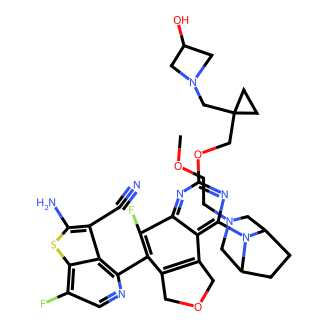 COCCN1CC2CCC(C1)N2c1nc(OCC2(CN3CC(O)C3)CC2)nc2c(F)c(-c3ncc(F)c4sc(N)c(C#N)c34)c3c(c12)COC3